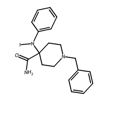 NC(=O)C1(N(I)c2ccccc2)CCN(Cc2ccccc2)CC1